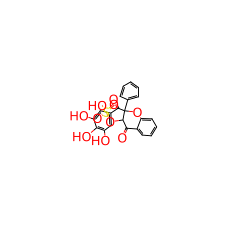 O=C1c2ccccc2OC(C(=O)c2cc(O)c(O)c(O)c2)(c2ccccc2)C1OS(=O)(=O)O